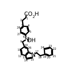 O=C(O)CCc1ccc(N(O)Cc2ccc3ccn(CCc4ccccc4)c3c2)cc1